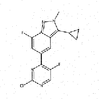 Cn1nc2c(F)cc(-c3nc(Cl)ncc3F)cc2c1C1CC1